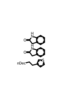 CCCCCCCCCCCCc1ccsc1.O=C1Cc2ccccc2N1.O=C1Cc2ccccc2N1